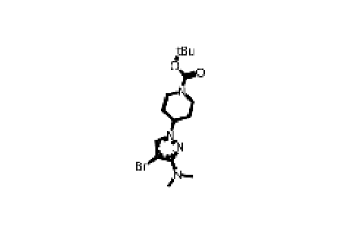 CN(C)c1nn(C2CCN(C(=O)OC(C)(C)C)CC2)cc1Br